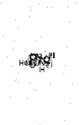 O=C1Nc2c(Cl)cc(Cl)cc2/C1=N/c1cccc(C(=O)O)c1